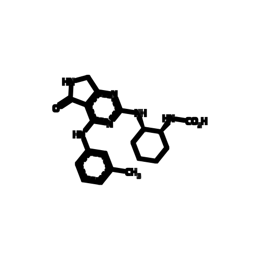 Cc1cccc(Nc2nc(N[C@@H]3CCCC[C@@H]3NC(=O)O)nc3c2C(=O)NC3)c1